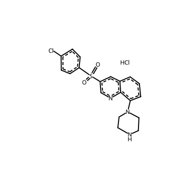 Cl.O=S(=O)(c1ccc(Cl)cc1)c1cnc2c(N3CCNCC3)cccc2c1